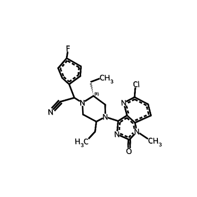 CCC1CN(C(C#N)c2ccc(F)cc2)[C@H](CC)CN1c1nc(=O)n(C)c2ccc(Cl)nc12